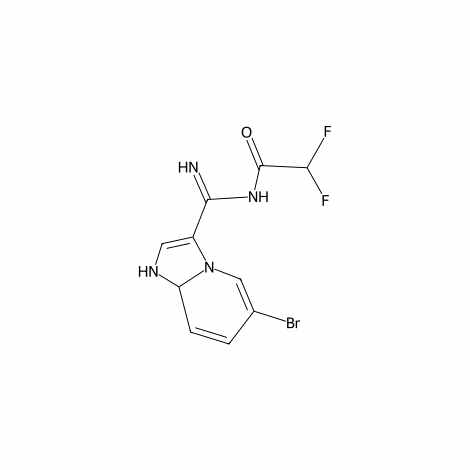 N=C(NC(=O)C(F)F)C1=CNC2C=CC(Br)=CN12